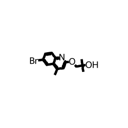 Cc1cc(OCC(C)(C)O)nc2ccc(Br)cc12